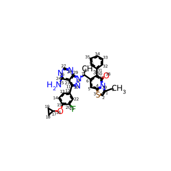 Cc1csc2cc([C@H](C)n3nc(-c4ccc(OC5CC5)c(F)c4)c4c(N)ncnc43)c(-c3ccccc3)c(=O)n12